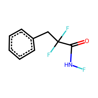 O=C(NF)C(F)(F)Cc1ccccc1